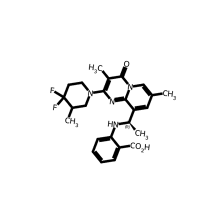 Cc1cc([C@@H](C)Nc2ccccc2C(=O)O)c2nc(N3CCC(F)(F)C(C)C3)c(C)c(=O)n2c1